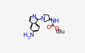 CC(C)(C)OC(=O)N[C@@H]1CCN(c2nccc3cc(N)ccc23)C1